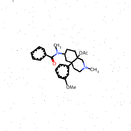 COc1cccc(C23CCN(C)CC2(OC(C)=O)CCC(N(C)C(=O)c2ccccc2)C3)c1